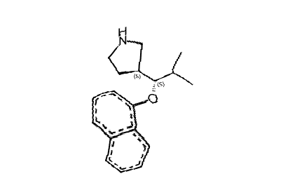 CC(C)[C@H](Oc1cccc2ccccc12)[C@H]1CCNC1